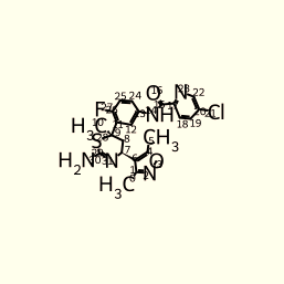 Cc1noc(C)c1[C@@H]1C[C@@](C)(c2cc(NC(=O)c3ccc(Cl)cn3)ccc2F)SC(N)=N1